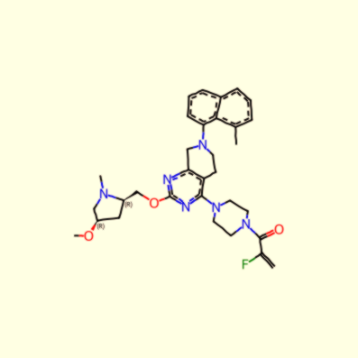 C=C(F)C(=O)N1CCN(c2nc(OC[C@H]3C[C@@H](OC)CN3C)nc3c2CCN(c2cccc4cccc(C)c24)C3)CC1